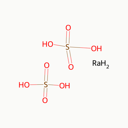 O=S(=O)(O)O.O=S(=O)(O)O.[RaH2]